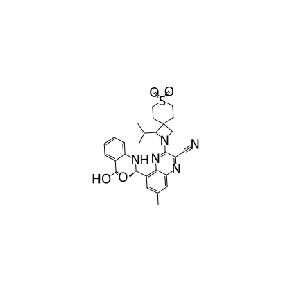 Cc1cc([C@@H](C)Nc2ccccc2C(=O)O)c2nc(N3CC4(CCS(=O)(=O)CC4)C3C(C)C)c(C#N)nc2c1